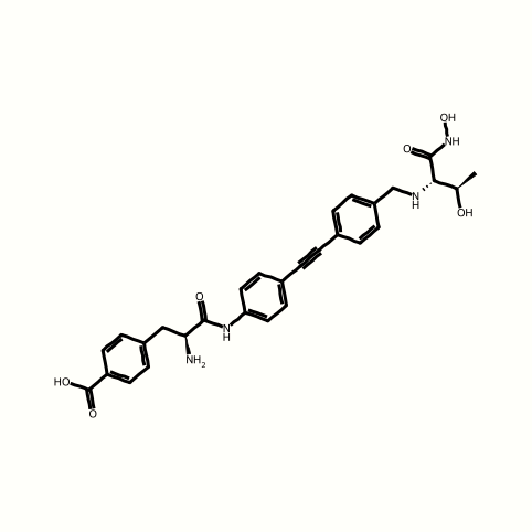 C[C@@H](O)[C@H](NCc1ccc(C#Cc2ccc(NC(=O)[C@@H](N)Cc3ccc(C(=O)O)cc3)cc2)cc1)C(=O)NO